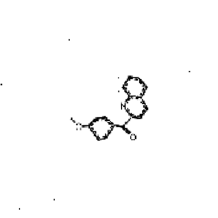 COc1ccc(C(=O)c2ccc3ccccc3n2)cc1